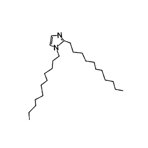 CCCCCCCCCCCc1nccn1CCCCCCCCCCC